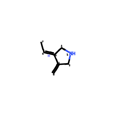 C=C1CNC/C1=C\C